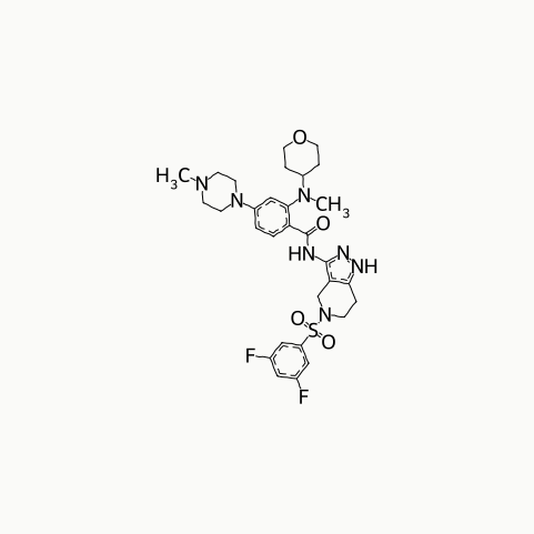 CN1CCN(c2ccc(C(=O)Nc3n[nH]c4c3CN(S(=O)(=O)c3cc(F)cc(F)c3)CC4)c(N(C)C3CCOCC3)c2)CC1